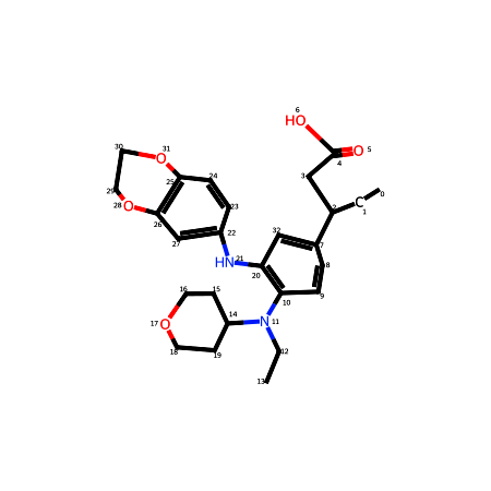 CCC(CC(=O)O)c1ccc(N(CC)C2CCOCC2)c(Nc2ccc3c(c2)OCCO3)c1